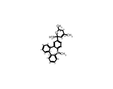 BC1(c2ccc3c(c2)-c2ccccc2-c2ccccc2N3C)C=C(C)CC(C)O1